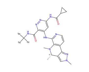 [2H]C([2H])([2H])NC(=O)c1nnc(NC(=O)C2CC2)cc1Nc1nccc2c1N(C)[C@@H](C)c1cn(C)nc1-2